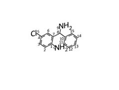 Nc1ccc(Cl)cc1C(N)c1ccccc1